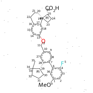 COc1ccc(F)c(-c2ccc(COc3ccc4c(c3)[C@]3(CCC4)CC[C@H]3C(=O)O)cc2[C@@H]2CCCC2(C)C)c1